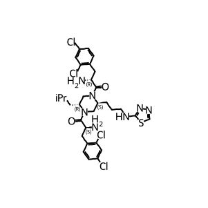 CC(C)C[C@@H]1CN(C(=O)[C@H](N)Cc2ccc(Cl)cc2Cl)[C@@H](CCCNc2nncs2)CN1C(=O)[C@@H](N)Cc1ccc(Cl)cc1Cl